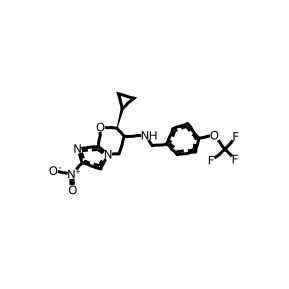 O=[N+]([O-])c1cn2c(n1)O[C@@H](C1CC1)C(NCc1ccc(OC(F)(F)F)cc1)C2